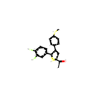 CSc1ccc(-c2cc(C(C)=O)sc2-c2ccc(F)c(F)c2)cc1